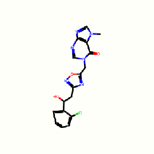 Cn1cnc2ncn(Cc3nc(CC(O)c4ccccc4Cl)no3)c(=O)c21